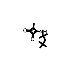 Cc1c(NC(C)(C)CC(C)(C)C)c(=O)c1=O